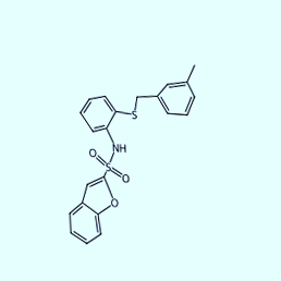 Cc1cccc(CSc2ccccc2NS(=O)(=O)c2cc3ccccc3o2)c1